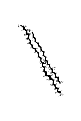 CC(C)CCCCCCCCCCCCCCCOC(=O)CCCCCC(C)C.CC(C)CCCCCCCCCCCCCCCOC(=O)CCCCCCCCCCCCCCC(C)C